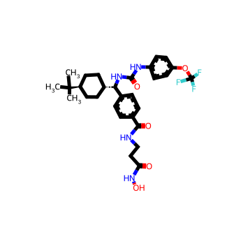 CC(C)(C)[C@H]1CC[C@H](C(NC(=O)Nc2ccc(OC(F)(F)F)cc2)c2ccc(C(=O)NCCC(=O)NO)cc2)CC1